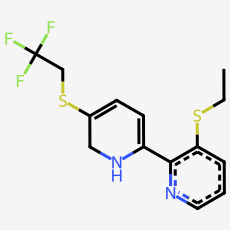 CCSc1cccnc1C1=CC=C(SCC(F)(F)F)CN1